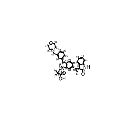 O=C(O)C(F)(F)F.O=C1Nc2ccccc2[C@]12C[C@H]2c1ccc2c(-c3cccc(CN4CCOCC4)c3)n[nH]c2c1